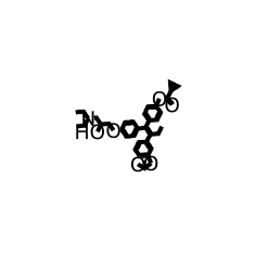 CC/C(=C(/c1ccc(OCC(O)CN(CC)CC)cc1)c1ccc(OC(=O)C2CC2)cc1)c1ccc2c(c1)OCO2